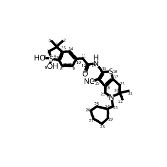 CC1(C)CS(O)(O)c2ccc(CC(=O)Nc3sc4c(c3C#N)CN(CC3CCCCC3)C(C)(C)C4)cc21